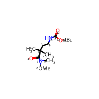 CON(C)C(=O)C(C)(C)CCNC(=O)OC(C)(C)C